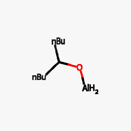 CCCCC(CCCC)[O][AlH2]